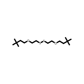 CC(C)(C)CCOCCSSCCOCCC(C)(C)C